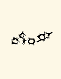 Cc1nc2ccc(C[C@H]3CC[C@H](C(=O)N4OCC[C@H]4c4cnccn4)CC3)cn2n1